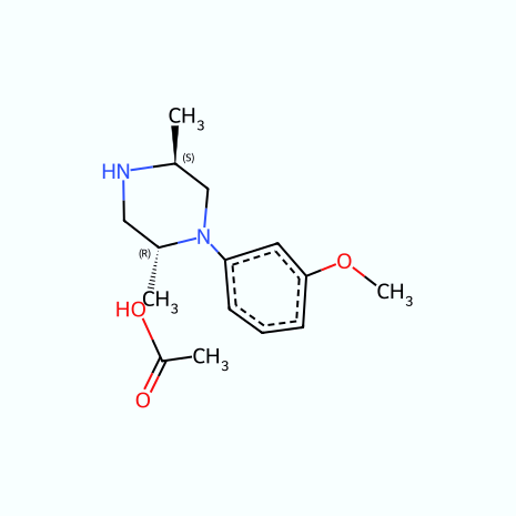 CC(=O)O.COc1cccc(N2C[C@H](C)NC[C@H]2C)c1